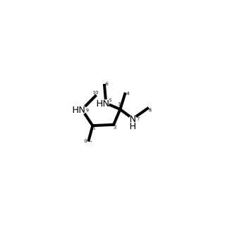 [CH2]C(CC(C)(NC)NC)NC